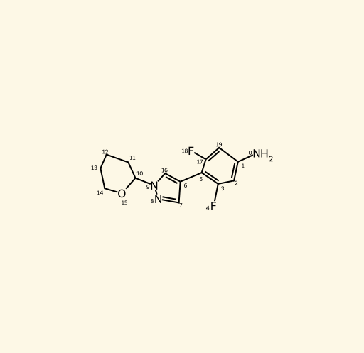 Nc1cc(F)c(-c2cnn(C3CCCCO3)c2)c(F)c1